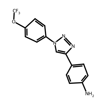 Nc1ccc(-c2cn(-c3ccc(OC(F)(F)F)cc3)nn2)cc1